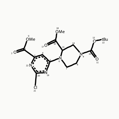 COC(=O)c1cc(N2CCN(C(=O)OC(C)(C)C)CC2C(=O)OC)nc(Cl)n1